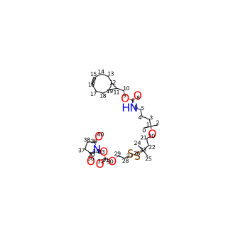 CC(C)(CCCNC(=O)OCC1C2CCC#CCCC21)OCCC(C)(C)SSCCOC(=O)ON1C(=O)CCC1=O